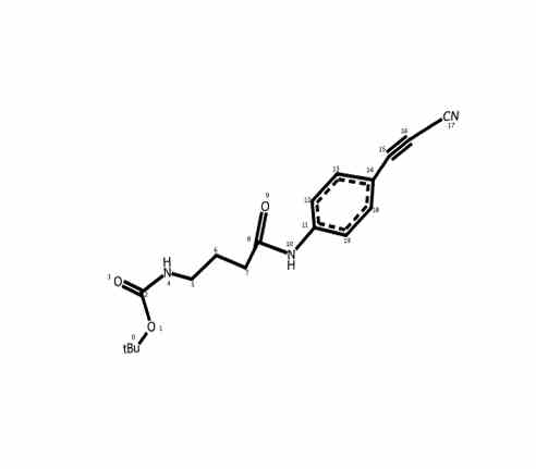 CC(C)(C)OC(=O)NCCCC(=O)Nc1ccc(C#CC#N)cc1